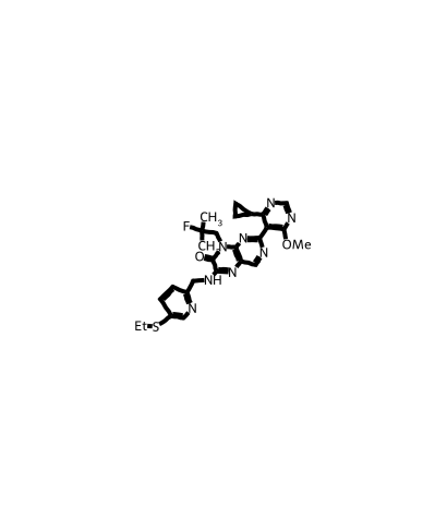 CCSc1ccc(CNc2nc3cnc(-c4c(OC)ncnc4C4CC4)nc3n(CC(C)(C)F)c2=O)nc1